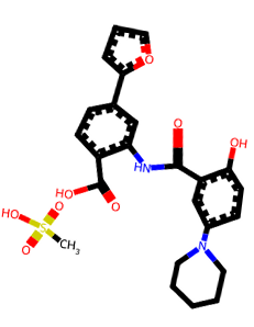 CS(=O)(=O)O.O=C(Nc1cc(-c2ccco2)ccc1C(=O)O)c1cc(N2CCCCC2)ccc1O